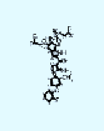 Cc1cc(Oc2ccccc2F)ccc1-n1ncc(C(=O)c2cc3cc(OCC(F)F)c(NS(=O)(=O)CCC(F)F)cc3[nH]2)c1N